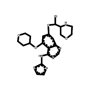 CCC(Oc1cc(OC2CCOCC2)c2c(Nc3nccs3)ncnc2c1)C1COCCN1